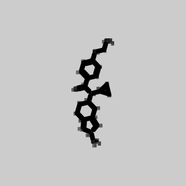 CCOc1ccc(C(=O)N(C2CC2)C2CCc3nn(C)cc3C2)cc1